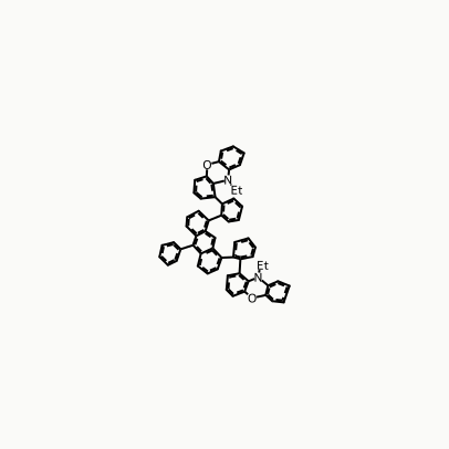 CCN1c2ccccc2Oc2cccc(-c3ccccc3-c3cccc4c(-c5ccccc5)c5cccc(-c6ccccc6-c6cccc7c6N(CC)c6ccccc6O7)c5cc34)c21